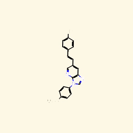 COc1ccc(-n2cnc3cc(/C=C/c4ccc(C(C)C)cc4)cnc32)cc1